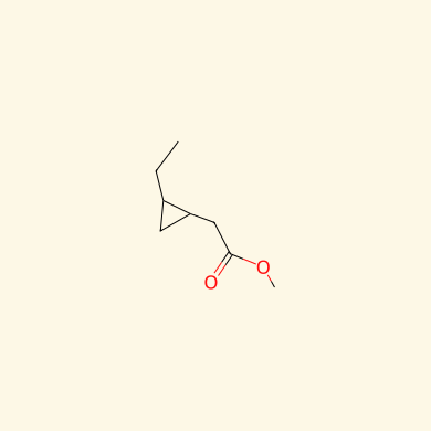 CCC1CC1CC(=O)OC